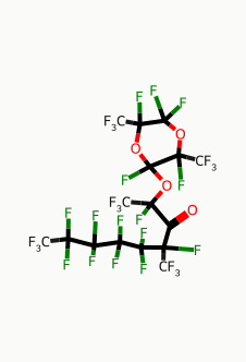 O=C(C(F)(OC1(F)OC(F)(C(F)(F)F)C(F)(F)OC1(F)C(F)(F)F)C(F)(F)F)C(F)(C(F)(F)F)C(F)(F)C(F)(F)C(F)(F)C(F)(F)C(F)(F)F